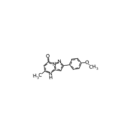 COc1ccc(-c2cc3[nH]c(C)cc(=O)n3n2)cc1